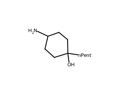 CCCCCC1(O)CCC(N)CC1